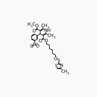 COC(=O)C1=C(C)NC(C)=C(C(=O)OCCCCCCOSc2nc(C)cs2)C1c1cccc([N+](=O)[O-])c1